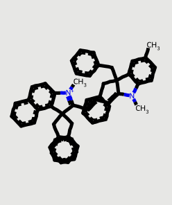 Cc1ccc2c(c1)C(Cc1ccccc1)(Cc1ccccc1)/C(=C\C=C\C1=[N+](C)c3ccc4ccccc4c3C1(Cc1ccccc1)Cc1ccccc1)N2C